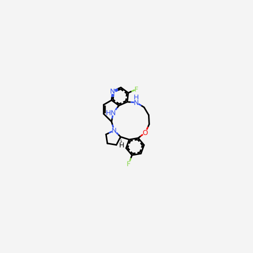 Fc1ccc2c(c1)[C@H]1CCCN1C1C=Cc3ncc(F)c(c3N1)NCCCO2